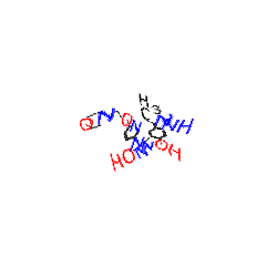 CCc1n[nH]c2cc(O)c(-c3nnc(O)n3-c3ccc(OCCN4CCOCC4)nc3)cc12